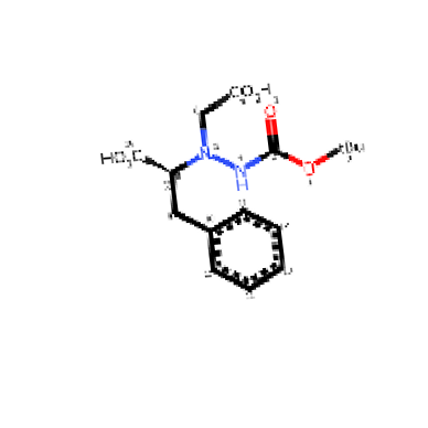 CC(C)(C)OC(=O)NN(CC(=O)O)[C@@H](Cc1ccccc1)C(=O)O